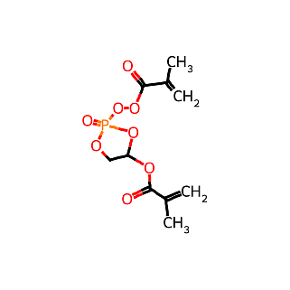 C=C(C)C(=O)OOP1(=O)OCC(OC(=O)C(=C)C)O1